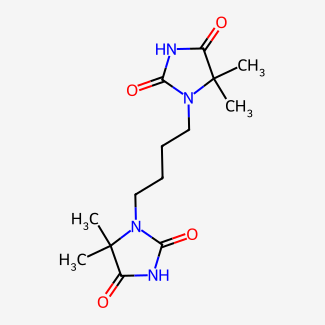 CC1(C)C(=O)NC(=O)N1CCCCN1C(=O)NC(=O)C1(C)C